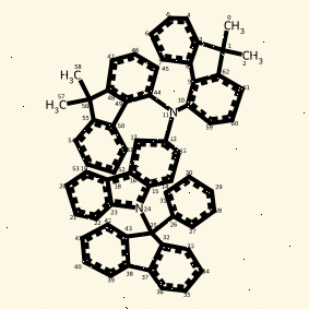 CC1(C)c2ccccc2-c2c(N(c3ccc4c(c3)c3ccccc3n4C3(c4ccccc4)c4ccccc4-c4ccccc43)c3cccc4c3-c3ccccc3C4(C)C)cccc21